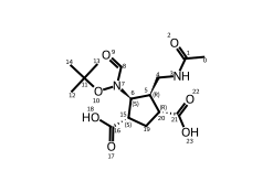 CC(=O)NC[C@@H]1[C@H](N(C=O)OC(C)(C)C)[C@@H](C(=O)O)C[C@H]1C(=O)O